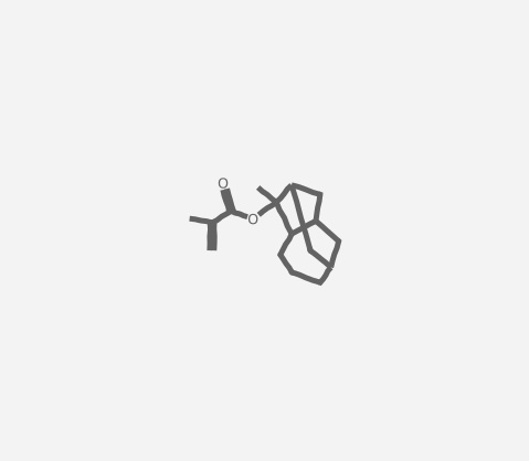 C=C(C)C(=O)OC1(C)C2CC3CCCC1C(C3)C2